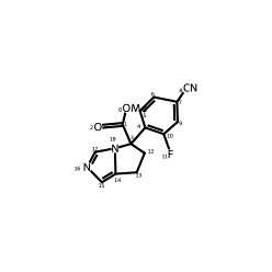 COC(=O)C1(c2ccc(C#N)cc2F)CCc2cncn21